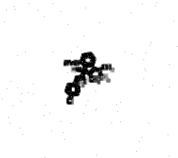 COc1ccccc1C(O)(/C(C)=C/c1ccc(Cl)cc1)C(C)CN(C)C